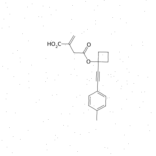 C=C(CC(=O)OC1(C#Cc2ccc(C)cc2)CCC1)C(=O)O